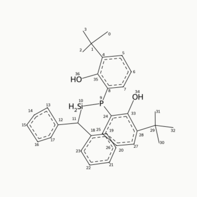 CC(C)(C)c1cccc(P([SiH2]C(c2ccccc2)c2ccccc2)c2cccc(C(C)(C)C)c2O)c1O